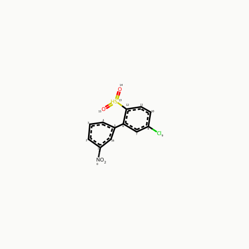 O=[N+]([O-])c1cccc(-c2cc(Cl)ccc2[SH](=O)=O)c1